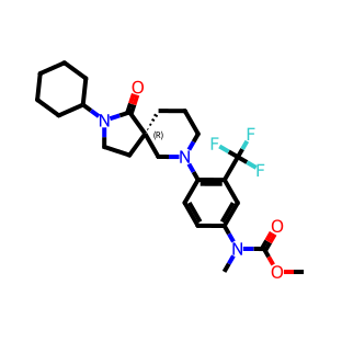 COC(=O)N(C)c1ccc(N2CCC[C@@]3(CCN(C4CCCCC4)C3=O)C2)c(C(F)(F)F)c1